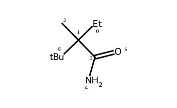 CCC(C)(C(N)=O)C(C)(C)C